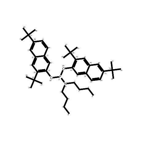 CCCCN(CCCC)P(Oc1cc2ccc(C(C)(C)C)cc2cc1C(C)(C)C)Oc1cc2ccc(C(C)(C)C)cc2cc1C(C)(C)C